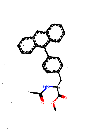 COC(=O)[C@H](Cc1ccc(-c2c3ccccc3cc3ccccc23)cc1)NC(C)=O